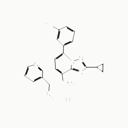 COc1ccc(-c2cccc(C(C)=O)c2)n2nc(C3CC3)nc12.O=C(O)NCc1cccnc1